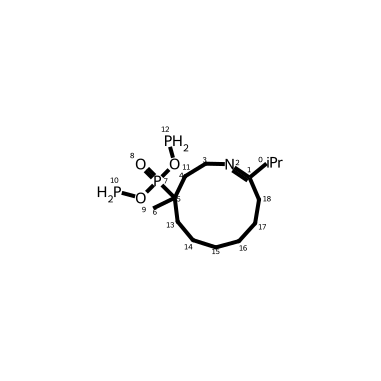 CC(C)/C1=N/CCC(C)(P(=O)(OP)OP)CCCCCC1